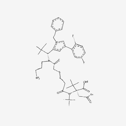 CC(C)(C)[C@H](c1cc(-c2cc(F)ccc2F)cn1Cc1ccccc1)N(CCCN)C(=O)CSCCC(=O)N(C(C)(C)C)[C@](CC(=O)O)(C(=O)O)C(C)(C)C